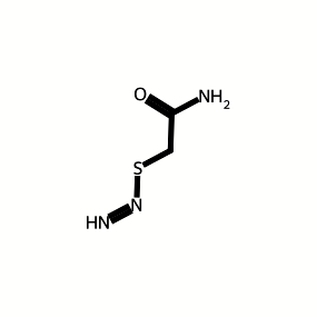 N=NSCC(N)=O